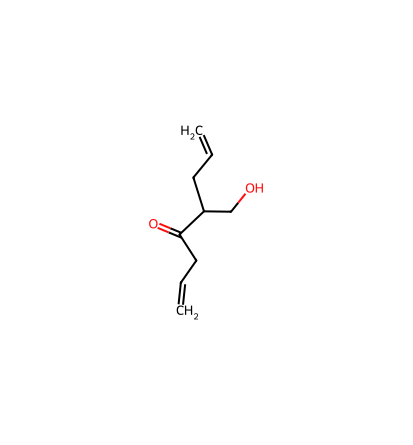 C=CCC(=O)C(CO)CC=C